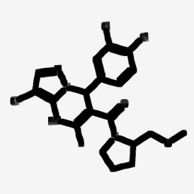 COCC1CCCN1C(=O)C1=C(C)Nc2c(Cl)cnn2C1c1ccc(Cl)c(Cl)c1